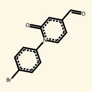 O=Cc1ccn(-c2ccc(Br)cc2)c(=O)c1